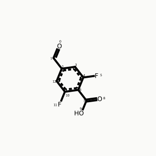 O=Cc1cc(F)c(C(=O)O)c(F)c1